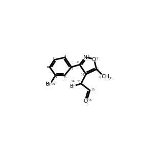 Cc1onc(-c2cccc(Br)c2)c1C(Br)C=O